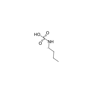 CCC[CH]NS(=O)(=O)O